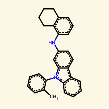 Cc1ccccc1-n1c2ccccc2c2ccc(Nc3cccc4c3CCCC4)cc21